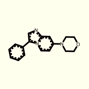 [c]1cn2c(-c3ccccc3)cnc2cc1N1CCOCC1